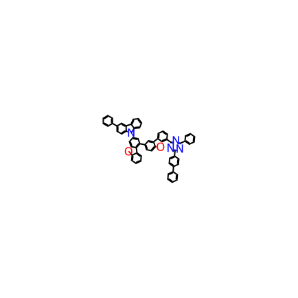 c1ccc(-c2ccc(-c3nc(-c4ccccc4)nc(-c4cccc5c4oc4ccc(-c6cc(-n7c8ccccc8c8cc(-c9ccccc9)ccc87)cc7oc8ccccc8c67)cc45)n3)cc2)cc1